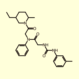 CCC1CCC(C)N(C(=O)CN(C(=O)CNC(=O)Nc2cccc(C)c2)c2ccccc2)C1